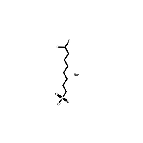 O=S(=O)([O-])CCCCCCCC(F)F.[Na+]